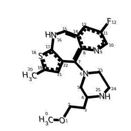 COCCC1CN(C2=c3ncc(F)cc3=CNc3sc(C)cc32)CCN1